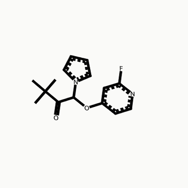 CC(C)(C)C(=O)C(Oc1ccnc(F)c1)n1cccc1